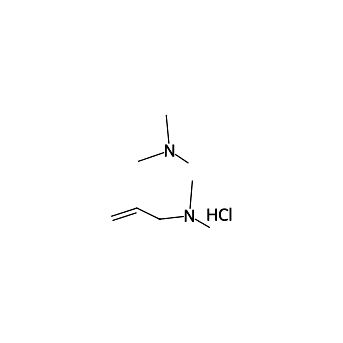 C=CCN(C)C.CN(C)C.Cl